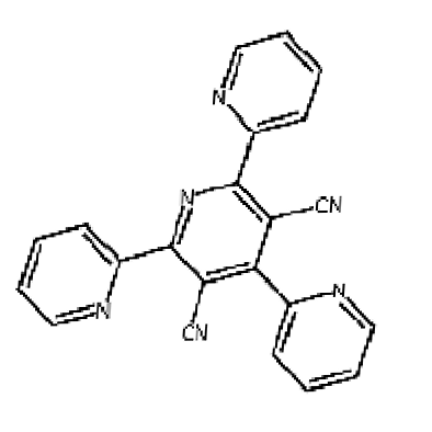 N#Cc1c(-c2ccccn2)nc(-c2ccccn2)c(C#N)c1-c1ccccn1